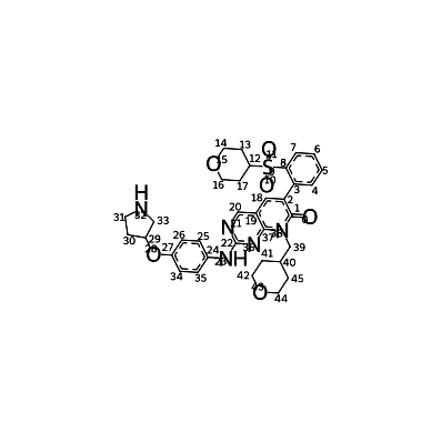 O=c1c(-c2ccccc2S(=O)(=O)C2CCOCC2)cc2cnc(Nc3ccc(OC4CCNC4)cc3)nc2n1CC1CCOCC1